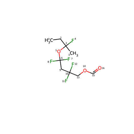 CCC(C)(F)OC(F)(F)CC(F)(F)COC=O